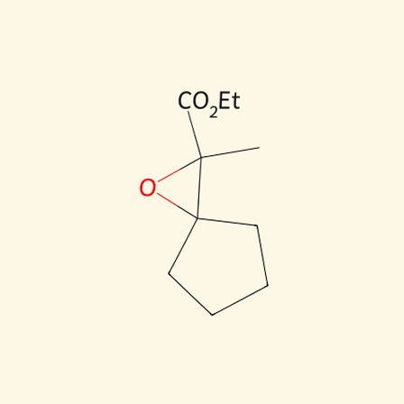 CCOC(=O)C1(C)OC12CCCC2